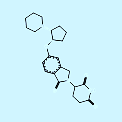 O=C1CCC(N2Cc3cc(O[C@@H]4CCC[C@H]4N4CCCCC4)ccc3C2=O)C(=O)N1